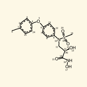 Cc1ccc(Oc2ccc(N(C[C@@H](O)C(=O)NO)S(C)(=O)=O)cc2)cc1